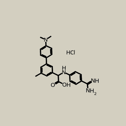 Cc1cc(-c2ccc(N(C)C)cc2)cc(C(Nc2ccc(C(=N)N)cc2)C(=O)O)c1.Cl